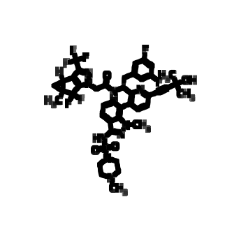 CN1CCN(S(=O)(=O)Nc2nn(C)c3c(-c4ccc(C#CC(C)(C)O)nc4[C@H](Cc4cc(F)cc(F)c4)NC(=O)Cn4nc(C(F)(F)F)c5c4C(F)(F)[C@]4(C)C[C@H]54)cccc23)CC1